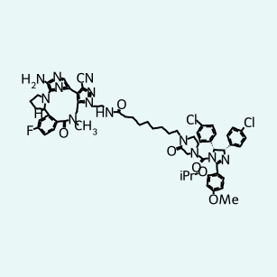 COc1ccc(C2=N[C@@H](c3ccc(Cl)cc3)[C@@H](c3ccc(Cl)cc3)N2C(=O)N2CCN(CCCCCCCCC(=O)NCCn3nc(C#N)c4c3CN(C)C(=O)c3ccc(F)cc3[C@H]3CCCN3c3nc-4cnc3N)C(=O)C2)c(OC(C)C)c1